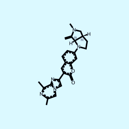 C=C1[C@@H]2[C@@H](CCN2c2ccc3cc(-c4cn5cc(C)nc(C)c5n4)c(=O)oc3c2)CN1C